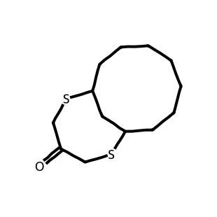 O=C1CSC2CCCCCCCC(C2)SC1